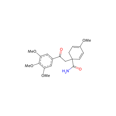 COC1=CCC(CC(=O)c2cc(OC)c(OC)c(OC)c2)(C(N)=O)C=C1